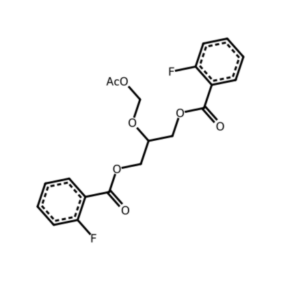 CC(=O)OCOC(COC(=O)c1ccccc1F)COC(=O)c1ccccc1F